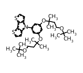 CC(C)(C)OCCC(C)(C)Oc1cc(OC(C)(C)CCOC(C)(C)C)cc(-n2c3ccsc3c3sccc32)c1